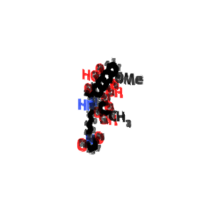 COc1cccc2c1C(=O)c1c(O)c3c(c(O)c1C2=O)CC1(C[C@@H]3O[C@H]2CC[C@H](O)[C@H](C)O2)OC/C1=N\NC(=O)CCCCCN1C(=O)C=CC1=O